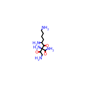 NCCCCC(N)C(=O)C(N)(C(N)=O)C(=O)CN